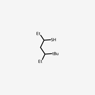 CCC(S)CC(CC)C(C)(C)C